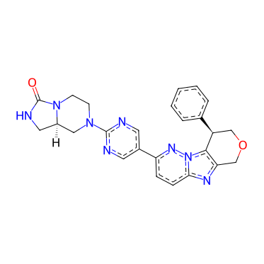 O=C1NC[C@@H]2CN(c3ncc(-c4ccc5nc6c(n5n4)[C@@H](c4ccccc4)COC6)cn3)CCN12